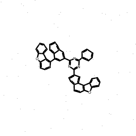 c1ccc(-c2nc(-c3cc(-c4cccc5oc6ccccc6c45)c4ccccc4c3)nc(-c3ccc4ccc5oc6ccccc6c5c4c3)n2)cc1